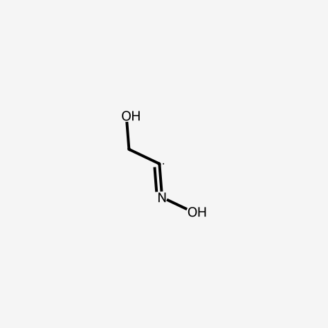 OC[C]=NO